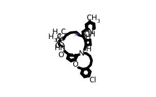 Cc1ccnc(C[C@@]2(O)/C=C/C[C@H](C)[C@@H](C)S(=O)(=O)NC(=O)c3ccc4c(c3)N(CCCCc3cc(Cl)ccc3CO4)C[C@@H]3CC[C@H]32)c1